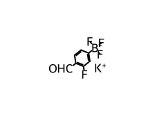 O=Cc1ccc([B-](F)(F)F)cc1F.[K+]